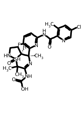 Cc1cc(Cl)cnc1C(=O)Nc1ccc(F)c([C@@]2(C)N=C(NC(=O)O)C(C)(C)[SH]3(=O)NCC[C@@H]23)n1